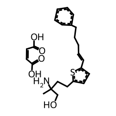 CC(N)(CO)CCc1ccc(C=CCCCc2ccccc2)s1.O=C(O)/C=C\C(=O)O